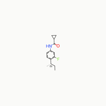 CC[C@H](C)c1ccc(NC(=O)C2CC2)cc1F